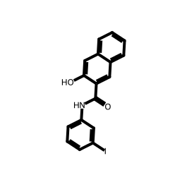 O=C(Nc1cccc(I)c1)c1cc2ccccc2cc1O